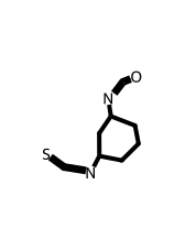 O=C=NC1CCCC(N=C=S)C1